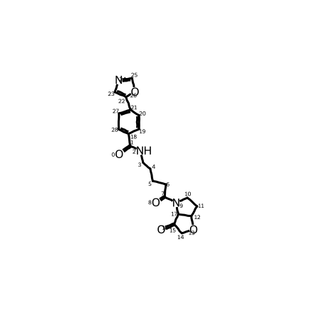 O=C(NCCCCC(=O)N1CCC2OCC(=O)C21)c1ccc(-c2cnco2)cc1